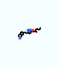 C=C(/C=C\C=C/C)COc1ccc(CCc2ccc3c(c2)CN(C)CC3)nn1